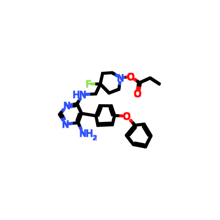 CCC(=O)ON1CCC(F)(CNc2ncnc(N)c2-c2ccc(Oc3ccccc3)cc2)CC1